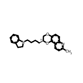 Cc1ccc2c3c(ccc2n1)OC[C@H]([CH]CCCN1CCc2ccccc21)O3